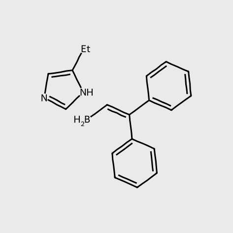 BC=C(c1ccccc1)c1ccccc1.CCc1cnc[nH]1